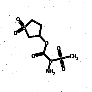 CS(=O)(=O)N(N)C(=O)OC1CCS(=O)(=O)C1